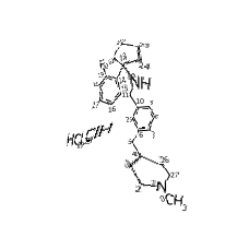 CN1CCC(Cc2cccc(CNC3(c4ccccc4F)CCCC3)c2)CC1.Cl.Cl